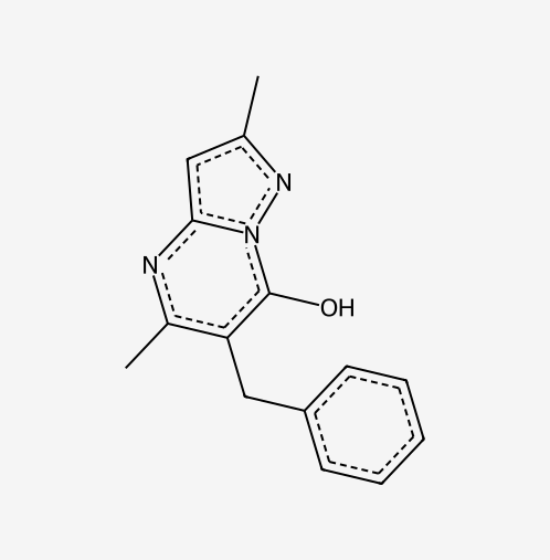 Cc1cc2nc(C)c(Cc3ccccc3)c(O)n2n1